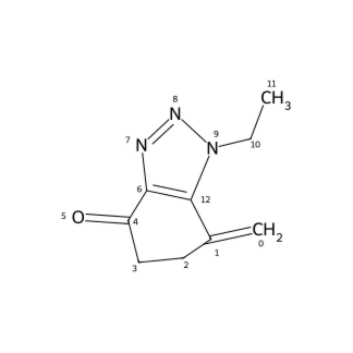 C=C1CCC(=O)c2nnn(CC)c21